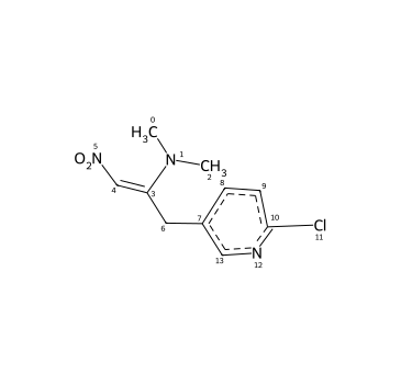 CN(C)/C(=C\[N+](=O)[O-])Cc1ccc(Cl)nc1